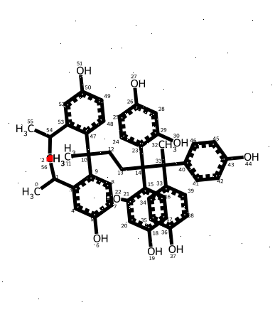 CC(C)c1cc(O)ccc1C(C)(CCC(c1ccc(O)cc1O)(c1ccc(O)cc1O)C(C)(c1ccc(O)cc1)c1ccc(O)cc1)c1ccc(O)cc1C(C)C